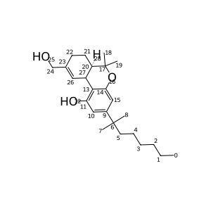 CCCCCCC(C)(C)c1cc(O)c2c(c1)OC(C)(C)[C@@H]1CCC(CO)=CC21